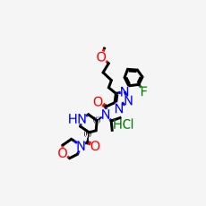 COCCCCc1c(C(=O)N(C(C)C)[C@@H]2CNC[C@H](C(=O)N3CCOCC3)C2)nnn1-c1ccccc1F.Cl